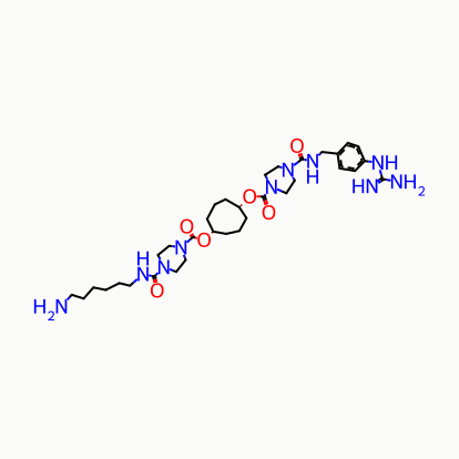 N=C(N)Nc1ccc(CNC(=O)N2CCN(C(=O)O[C@H]3CCC[C@@H](OC(=O)N4CCN(C(=O)NCCCCCCN)CC4)CCC3)CC2)cc1